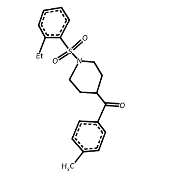 CCc1ccccc1S(=O)(=O)N1CCC(C(=O)c2ccc(C)cc2)CC1